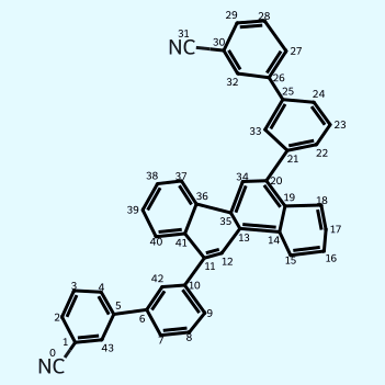 N#Cc1cccc(-c2cccc(-c3cc4c5ccccc5c(-c5cccc(-c6cccc(C#N)c6)c5)cc4c4ccccc34)c2)c1